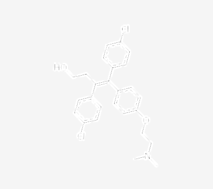 CN(C)CCOc1ccc(C(=C(CCO)c2ccc(Cl)cc2)c2ccc(Cl)cc2)cc1